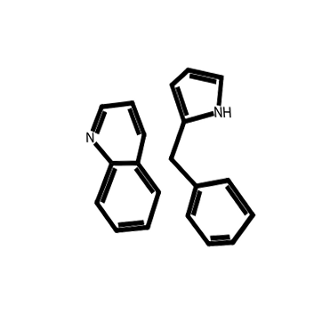 c1ccc(Cc2ccc[nH]2)cc1.c1ccc2ncccc2c1